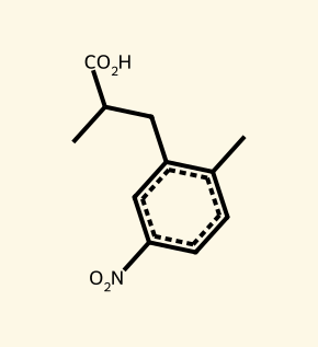 Cc1ccc([N+](=O)[O-])cc1CC(C)C(=O)O